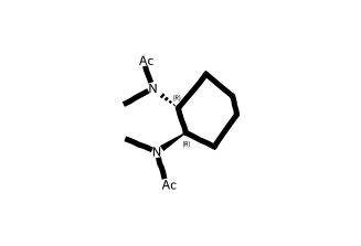 CC(=O)N(C)[C@@H]1CCCC[C@H]1N(C)C(C)=O